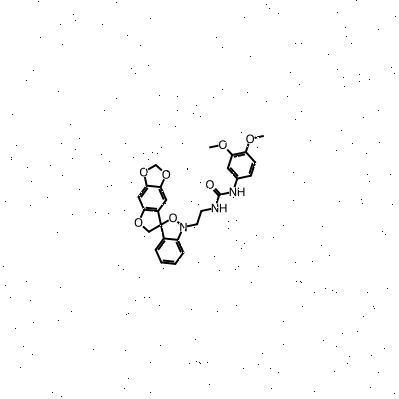 COc1ccc(NC(=O)NCCN2OC3(COc4cc5c(cc43)OCO5)c3ccccc32)cc1OC